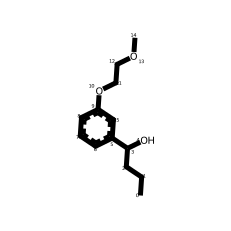 CCCC(O)c1cccc(OCCOC)c1